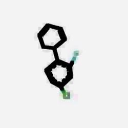 Fc1cc(Cl)ccc1C1C=CC=CC1